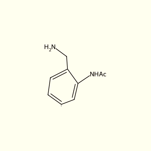 CC(=O)Nc1c[c]ccc1CN